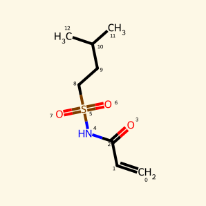 C=CC(=O)NS(=O)(=O)CCC(C)C